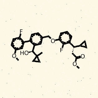 COC(=O)C[C@H](c1cccc(OCc2ccc(-c3cc(OC)ccc3F)c([C@H](O)C3(C)CC3)c2)c1F)C1CC1